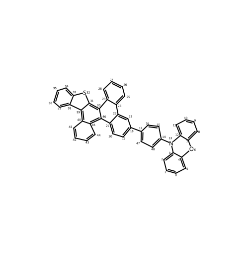 c1ccc2c(c1)Oc1ccccc1N2c1ccc(-c2ccc3c(c2)c2ccccc2c2c4sc5ccccc5c4c4ccccc4c32)cc1